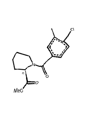 COC(=O)[C@H]1CCCCN1C(=O)c1ccc(Cl)c(C)c1